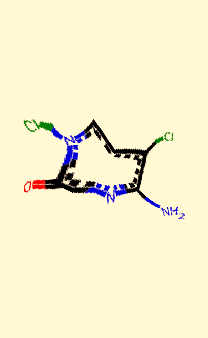 Nc1nc(=O)n(Cl)cc1Cl